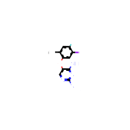 CC(C)c1cc(F)c(I)cc1Oc1cnc(N)nc1N